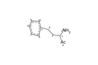 CC(=O)C(N)CCc1ccccc1